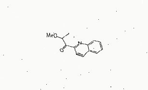 COC(C)C(=O)c1ccc2ccccc2n1